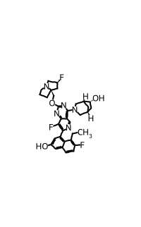 CCc1c(F)ccc2cc(O)cc(-c3ncc4c(N5C[C@@H]6C[C@H](C5)[C@H](O)C6)nc(OC[C@@]56CCCN5C[C@@H](F)C6)nc4c3F)c12